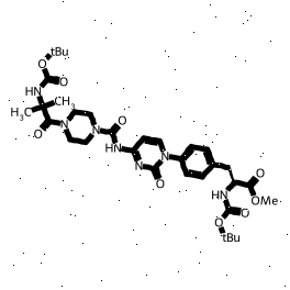 COC(=O)[C@H](Cc1ccc(-n2ccc(NC(=O)N3CCN(C(=O)C(C)(C)NC(=O)OC(C)(C)C)CC3)nc2=O)cc1)NC(=O)OC(C)(C)C